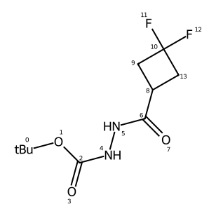 CC(C)(C)OC(=O)NNC(=O)C1CC(F)(F)C1